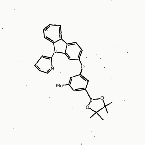 CC(C)(C)c1cc(Oc2ccc3c4ccccc4n(-c4ccccn4)c3c2)cc(B2OC(C)(C)C(C)(C)O2)c1